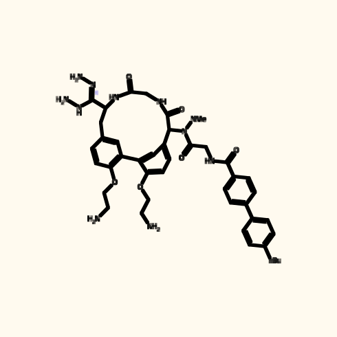 CCCCc1ccc(-c2ccc(C(=O)NCC(=O)N(NC)C3C(=O)NCC(=O)NC(/C(=N/N)NN)Cc4ccc(OCCN)c(c4)-c4cc3ccc4OCCN)cc2)cc1